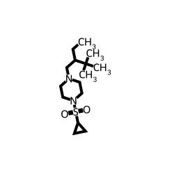 CCC(CN1CCN(S(=O)(=O)C2CC2)CC1)C(C)(C)C